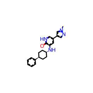 Cn1cc(-c2c[nH]c(=O)c(N[C@H]3CC[C@H](c4ccccc4)CC3)c2)cn1